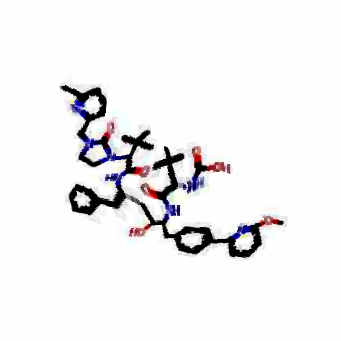 COc1cccc(-c2ccc(C[C@H](NC(=O)[C@@H](NC(=O)O)C(C)(C)C)[C@@H](O)C[C@H](Cc3ccccc3)NC(=O)[C@@H](N3CCN(Cc4cccc(C)n4)C3=O)C(C)(C)C)cc2)n1